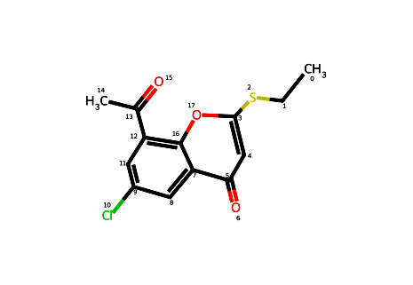 CCSc1cc(=O)c2cc(Cl)cc(C(C)=O)c2o1